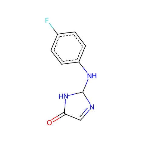 O=C1C=NC(Nc2ccc(F)cc2)N1